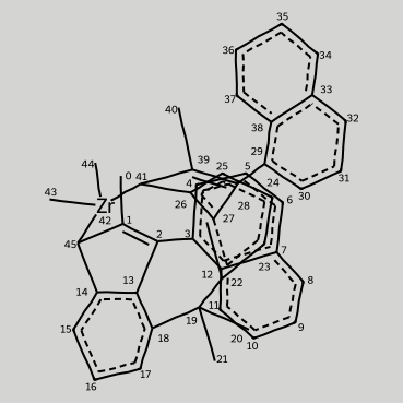 CC1=C(c2cccc3ccccc23)c2c3cccc2C(C)(C)c2cccc4c2C(c2cccc5ccccc25)=C(C)[CH]4[Zr]([CH3])([CH3])[CH]13